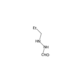 CCCNN[C]=O